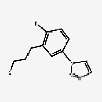 Fc1ccc(-n2c[c]nn2)cc1CCCCl